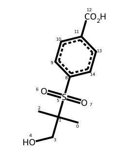 CC(C)(CO)S(=O)(=O)c1ccc(C(=O)O)cc1